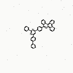 c1ccc(-c2ccc(-c3cc(-c4ccc(-c5nc6c7ccccc7c7ccccc7c6c6ccccc56)cc4)nc(-c4ccccc4)n3)cc2)cc1